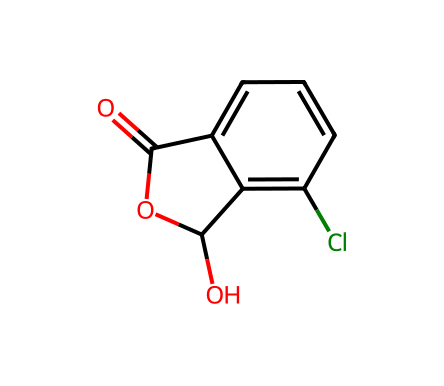 O=C1OC(O)c2c(Cl)cccc21